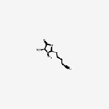 C#CCCCC[C@@H]1NC(=O)[C@H](C)N1C